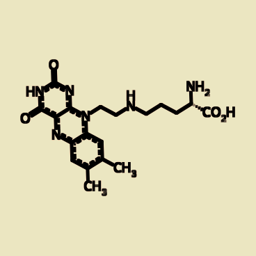 Cc1cc2nc3c(=O)[nH]c(=O)nc-3n(CCNCCC[C@H](N)C(=O)O)c2cc1C